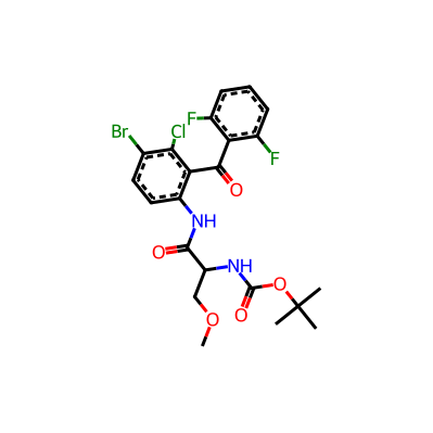 COCC(NC(=O)OC(C)(C)C)C(=O)Nc1ccc(Br)c(Cl)c1C(=O)c1c(F)cccc1F